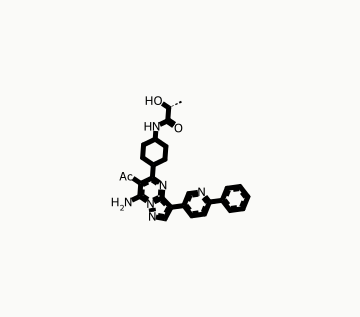 CC(=O)c1c(C2CCC(NC(=O)[C@@H](C)O)CC2)nc2c(-c3ccc(-c4ccccc4)nc3)cnn2c1N